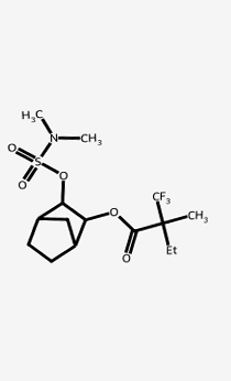 CCC(C)(C(=O)OC1C2CCC(C2)C1OS(=O)(=O)N(C)C)C(F)(F)F